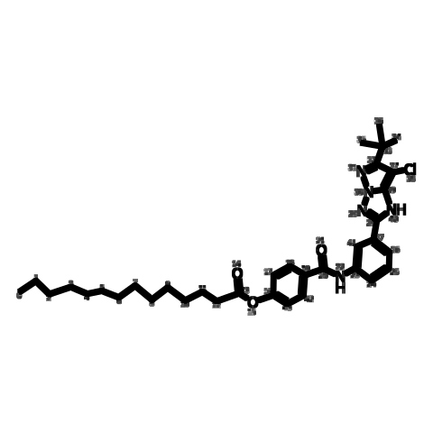 CCCCCCCCCCCCCC(=O)Oc1ccc(C(=O)Nc2cccc(-c3nn4nc(C(C)(C)C)c(Cl)c4[nH]3)c2)cc1